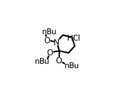 CCCCON1CCCCC1(OCCCC)OCCCC.Cl